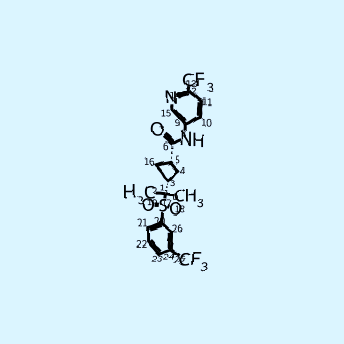 CC(C)([C@H]1C[C@@H](C(=O)Nc2ccc(C(F)(F)F)nc2)C1)S(=O)(=O)c1cccc(C(F)(F)F)c1